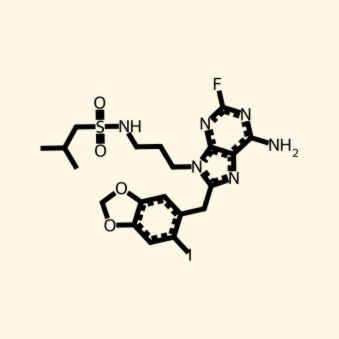 CC(C)CS(=O)(=O)NCCCn1c(Cc2cc3c(cc2I)OCO3)nc2c(N)nc(F)nc21